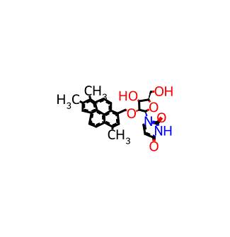 Cc1cc2ccc3c(C)cc(CO[C@H]4C(O)[C@@H](CO)O[C@H]4n4ccc(=O)[nH]c4=O)c4ccc(c1C)c2c34